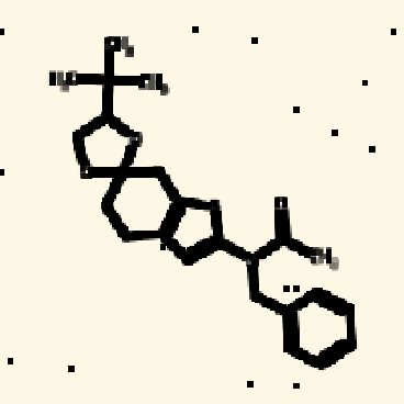 CC(=O)N(Cc1ccccc1)c1cc2c(s1)CC1(CC2)OCC(C(C)(C)C)O1